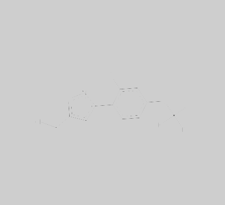 Cc1cc(OC(F)(F)F)ccc1-c1cc(CCl)on1